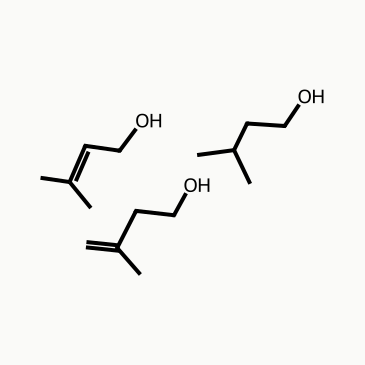 C=C(C)CCO.CC(C)=CCO.CC(C)CCO